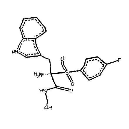 N[C@@](Cc1c[nH]c2ccccc12)(C(=O)NO)S(=O)(=O)c1ccc(F)cc1